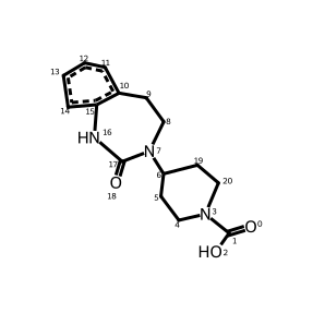 O=C(O)N1CCC(N2CCc3ccccc3NC2=O)CC1